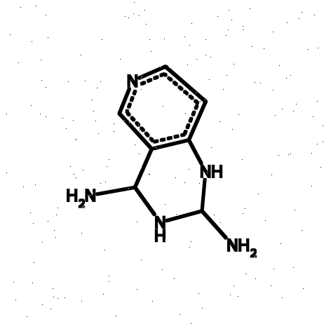 NC1Nc2ccncc2C(N)N1